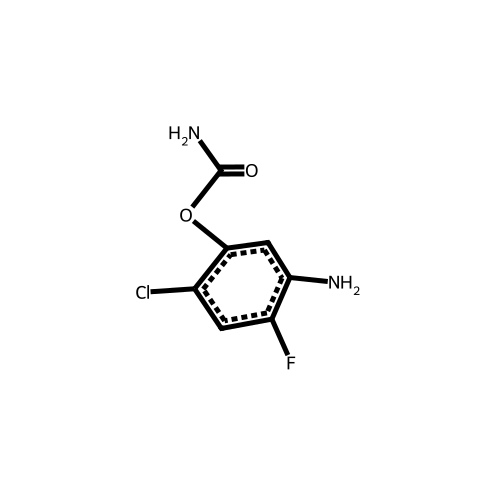 NC(=O)Oc1cc(N)c(F)cc1Cl